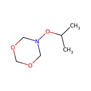 CC(C)ON1COCOC1